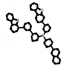 c1cc(-c2cccc(N(c3ccc(-c4ccc5ccccc5c4)cc3)c3cccc(-c4ccc5c(c4)oc4ccccc45)c3)c2)cc(-c2cccc3c2sc2ccccc23)c1